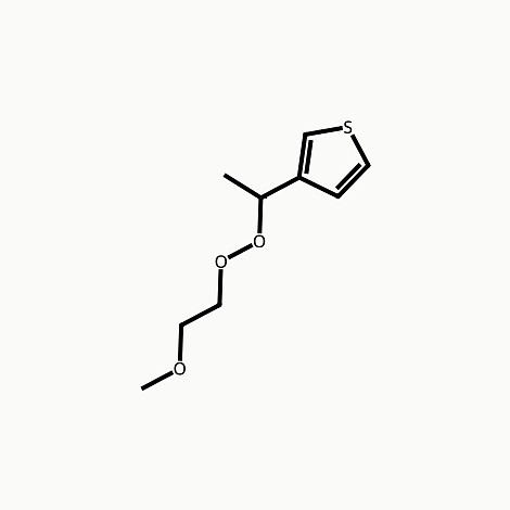 COCCOO[C](C)c1ccsc1